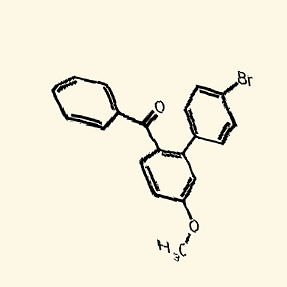 COc1ccc(C(=O)c2ccccc2)c(-c2ccc(Br)cc2)c1